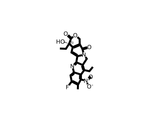 CCc1c2c(nc3cc(F)c(C)c([N+](=O)[O-])c13)-c1cc3c(c(=O)n1C2)COC(=O)[C@]3(O)CC